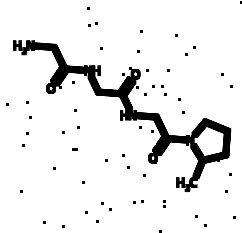 CC1CCCN1C(=O)CNC(=O)CNC(=O)CN